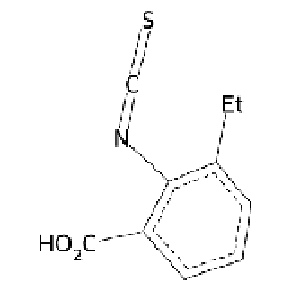 CCc1cccc(C(=O)O)c1N=C=S